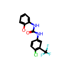 [O]c1ccccc1NC(=O)Nc1ccc(Cl)c(C(F)(F)F)c1